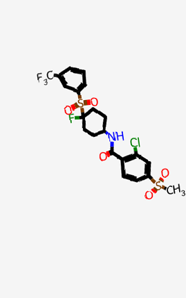 CS(=O)(=O)c1ccc(C(=O)NC2CCC(F)(S(=O)(=O)c3cccc(C(F)(F)F)c3)CC2)c(Cl)c1